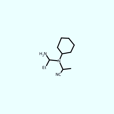 CCC(N)N(C(C)C#N)C1CCCCC1